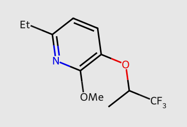 CCc1ccc(OC(C)C(F)(F)F)c(OC)n1